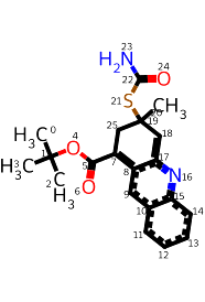 CC(C)(C)OC(=O)C1=c2cc3ccccc3nc2=CC(C)(SC(N)=O)C1